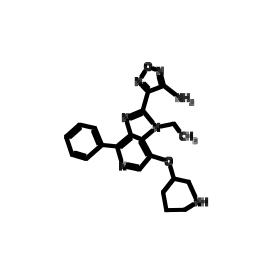 CCn1c(-c2nonc2N)nc2c(-c3ccccc3)ncc(OC3CCCNC3)c21